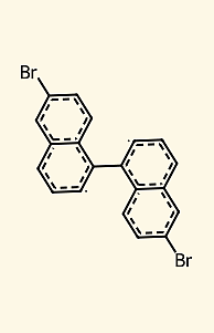 Brc1ccc2c(-c3[c]ccc4cc(Br)ccc34)[c]ccc2c1